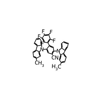 Cc1ccc2c3ccccc3n(-c3cc(-c4c(F)c(F)c(F)c(F)c4F)c(-n4c5ccccc5c5ccc(C)cc54)cc3C#N)c2c1